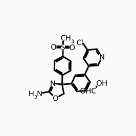 CS(=O)(=O)c1ccc(C2(c3cccc(-c4cncc(Cl)c4)c3)COC(N)=N2)cc1.O=CO